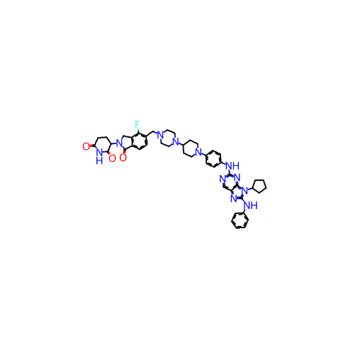 O=C1CCC(N2Cc3c(ccc(CN4CCN(C5CCN(c6ccc(Nc7ncc8nc(Nc9ccccc9)n(C9CCCC9)c8n7)cc6)CC5)CC4)c3F)C2=O)C(=O)N1